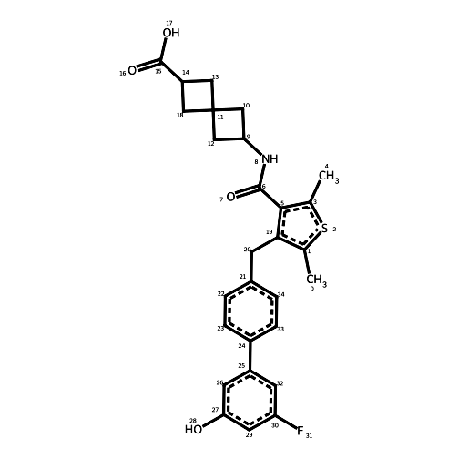 Cc1sc(C)c(C(=O)NC2CC3(C2)CC(C(=O)O)C3)c1Cc1ccc(-c2cc(O)cc(F)c2)cc1